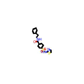 O=C(NCCc1ccccc1)c1ccc(S(=O)(=O)Nc2nccs2)cc1